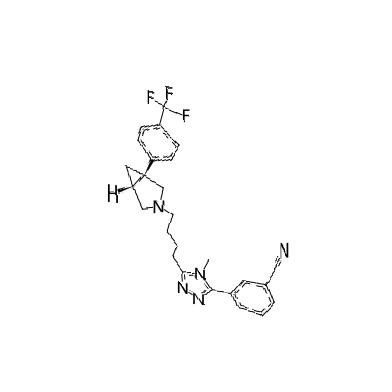 Cn1c(CCCCN2C[C@@H]3C[C@]3(c3ccc(C(F)(F)F)cc3)C2)nnc1-c1cccc(C#N)c1